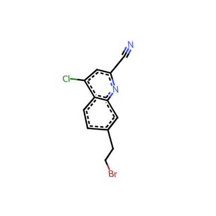 N#Cc1cc(Cl)c2ccc(CCBr)cc2n1